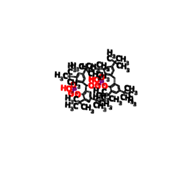 CC(C)(C)c1cc2c(c(C(C)(C)C)c1)OP(=O)(O)Oc1c(cc(C(C)(C)C)cc1C(C)(C)C)C2.CC(C)(C)c1cc2c(c(C(C)(C)C)c1)OP(=O)(O)Oc1c(cc(C(C)(C)C)cc1C(C)(C)C)C2O